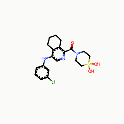 O=C(c1ncc(Nc2cccc(Cl)c2)c2c1CCCC2)N1CCS(O)(O)CC1